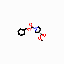 COC(=O)[C@H]1CCN(C(=O)OCc2ccccc2)C1